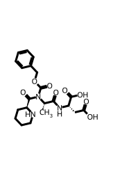 C[C@@H](C(=O)N[C@@H](CC(=O)O)C(=O)O)N(C(=O)OCc1ccccc1)C(=O)[C@@H]1CCCCN1